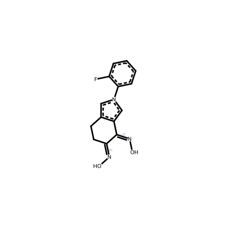 O/N=C1\C(=N\O)CCc2cn(-c3ccccc3F)cc21